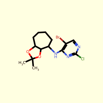 CC1(C)OC2CCCCC(Nc3nc(Cl)ncc3Br)C2O1